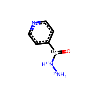 [15NH2][15NH][13C](=O)c1ccncc1